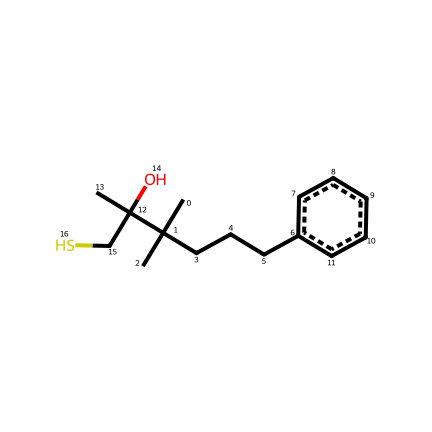 CC(C)(CCCc1ccccc1)C(C)(O)CS